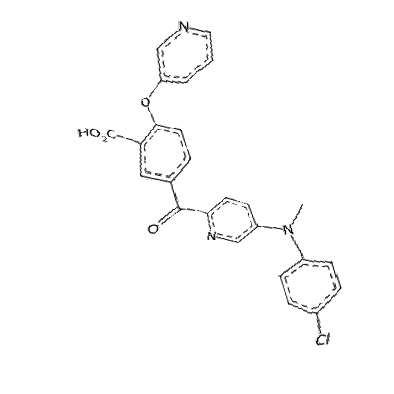 CN(c1ccc(Cl)cc1)c1ccc(C(=O)c2ccc(Oc3cccnc3)c(C(=O)O)c2)nc1